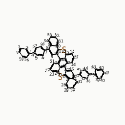 c1ccc(-c2ccc(-c3cc4c(sc5cccc6c5c4c4cccc5sc7c8ccccc8c(-c8ccc(-c9ccccc9)cc8)cc7c6c54)c4ccccc34)cc2)cc1